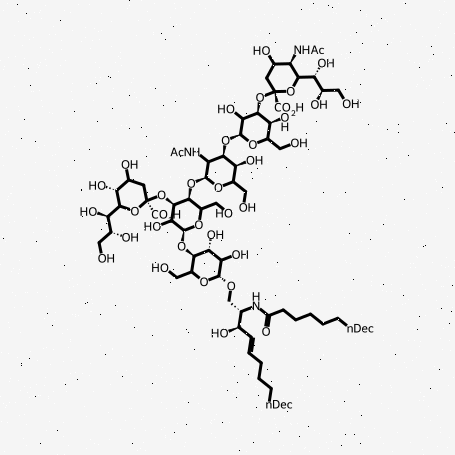 CCCCCCCCCCCCC/C=C/[C@@H](O)[C@H](CO[C@@H]1OC(CO)[C@@H](O[C@@H]2OC(CO)[C@H](O[C@@H]3OC(CO)[C@H](O)[C@H](O[C@@H]4OC(CO)[C@H](O)[C@H](O[C@]5(C(=O)O)CC(O)[C@@H](NC(C)=O)C([C@H](O)[C@H](O)CO)O5)C4O)C3NC(C)=O)[C@H](O[C@]3(C(=O)O)CC(O)[C@@H](O)C([C@H](O)[C@H](O)CO)O3)C2O)[C@H](O)C1O)NC(=O)CCCCCCCCCCCCCCC